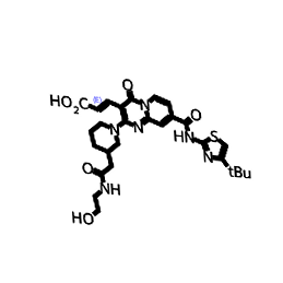 CC(C)(C)c1csc(NC(=O)c2ccn3c(=O)c(/C=C/C(=O)O)c(N4CCCC(CC(=O)NCCO)C4)nc3c2)n1